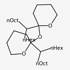 CCCCCCCCC(CCCCCC)C1(OC2(C(CCCCCC)CCCCCCCC)CCCCO2)CCCCO1